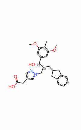 COc1cc([C@@H](O)[C@@H](CC2Cc3ccccc3C2)Cn2cc(CC(=O)O)cn2)cc(OC)c1C